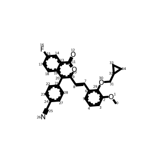 COc1cccc(C=Cc2oc(=O)c3cc(F)ccc3c2-c2ccc(C#N)cc2)c1OCC1CC1